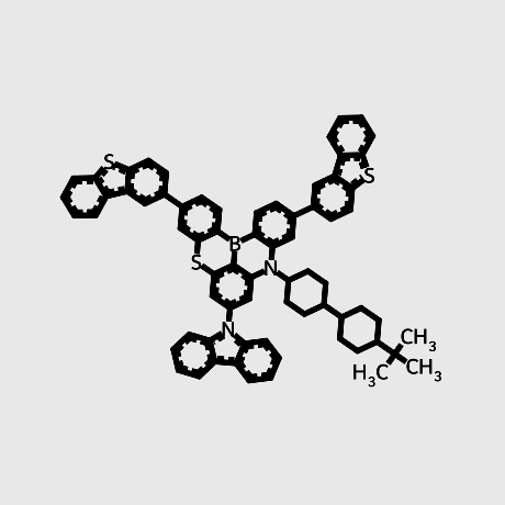 CC(C)(C)C1CCC(C2CCC(N3c4cc(-c5ccc6sc7ccccc7c6c5)ccc4B4c5ccc(-c6ccc7sc8ccccc8c7c6)cc5Sc5cc(-n6c7ccccc7c7ccccc76)cc3c54)CC2)CC1